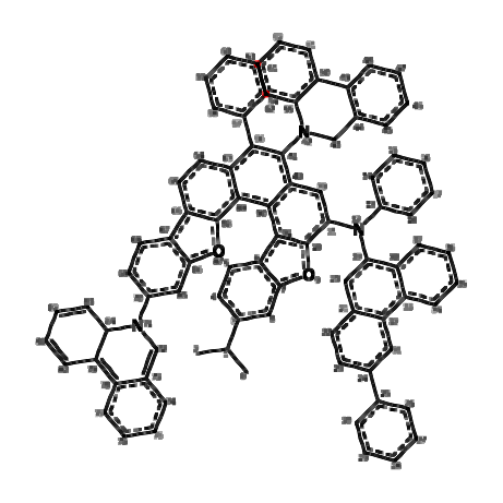 CC(C)c1ccc2c(c1)oc1c(N(c3ccccc3)c3cc4ccc(-c5ccccc5)cc4c4ccccc34)cc3c(N4Cc5ccccc5-c5ccccc54)c(-c4ccccc4)c4ccc5c6ccc(N7C=c8ccccc8=C8C=CC=CC87)cc6oc5c4c3c12